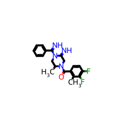 Cc1c(C(=O)N2CC(=N)N(C(=N)c3ccccc3)CC2C)ccc(F)c1F